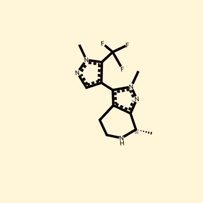 C[C@@H]1NCCc2c1nn(C)c2-c1cnn(C)c1C(F)(F)F